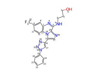 OCCCNc1nc2cc(C(F)(F)F)ccc2n2c(-c3cn(-c4ccccc4)nn3)cnc12